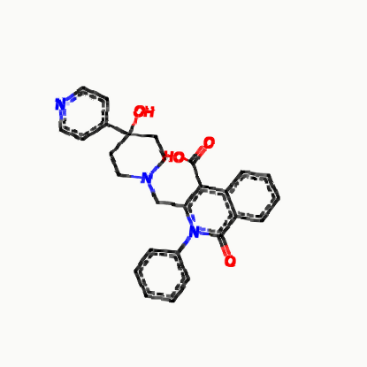 O=C(O)c1c(CN2CCC(O)(c3ccncc3)CC2)n(-c2ccccc2)c(=O)c2ccccc12